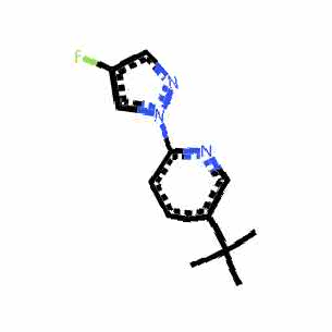 CC(C)(C)c1ccc(-n2cc(F)cn2)nc1